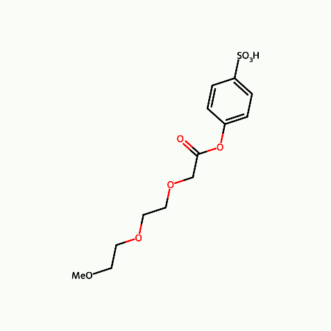 COCCOCCOCC(=O)Oc1ccc(S(=O)(=O)O)cc1